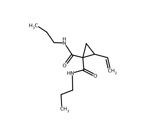 C=CC1CC1(C(=O)NCCC)C(=O)NCCC